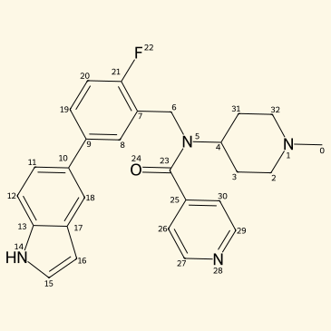 CN1CCC(N(Cc2cc(-c3ccc4[nH]ccc4c3)ccc2F)C(=O)c2ccncc2)CC1